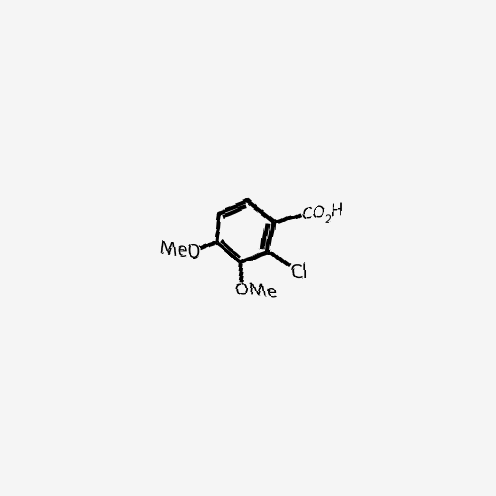 COc1ccc(C(=O)O)c(Cl)c1OC